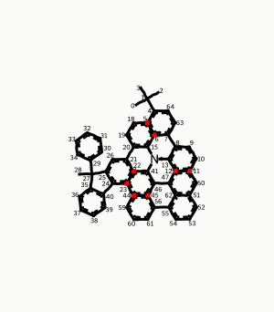 CC(C)(C)c1ccc(-c2ccccc2N(c2ccccc2-c2ccc3c(c2)C(C)(c2ccccc2)c2ccccc2-3)c2ccccc2-c2cccc3cccc(-c4ccccc4)c23)cc1